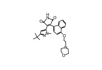 Cn1nc(C(C)(C)C)cc1C1=C(c2ccc(OCCN3CCOCC3)c3ccccc23)C(=O)NC1=O